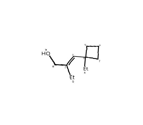 CC/C(=C\C1(CC)CCC1)CO